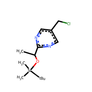 CC(O[Si](C)(C)C(C)(C)C)c1ncc(CCl)cn1